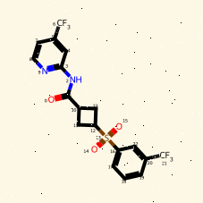 O=C(Nc1cc(C(F)(F)F)ccn1)C1CC(S(=O)(=O)c2cccc(C(F)(F)F)c2)C1